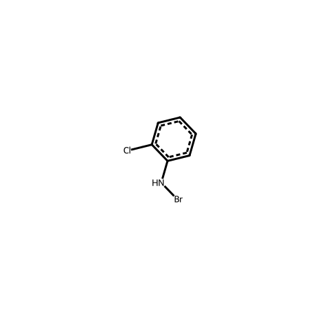 Clc1ccccc1NBr